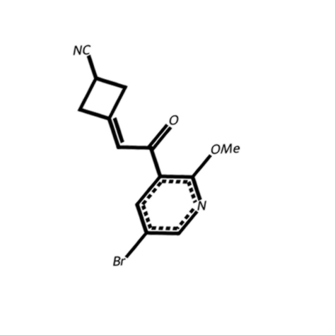 COc1ncc(Br)cc1C(=O)C=C1CC(C#N)C1